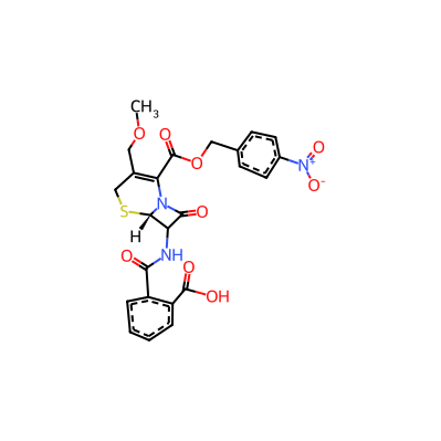 COCC1=C(C(=O)OCc2ccc([N+](=O)[O-])cc2)N2C(=O)C(NC(=O)c3ccccc3C(=O)O)[C@@H]2SC1